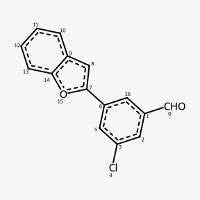 O=Cc1cc(Cl)cc(-c2cc3ccccc3o2)c1